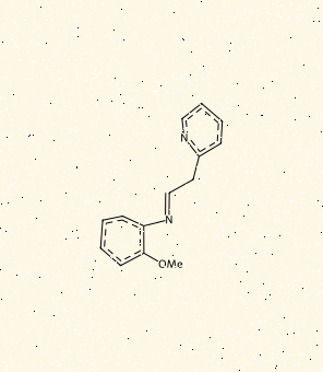 COc1ccccc1N=CCc1ccccn1